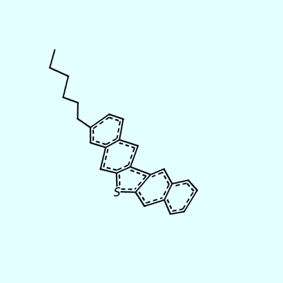 CCCCCCc1ccc2cc3c(cc2c1)sc1cc2ccccc2cc13